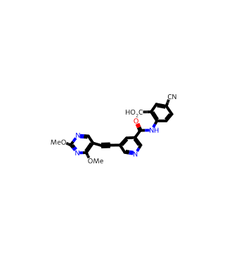 COc1ncc(C#Cc2cncc(C(=O)Nc3ccc(C#N)cc3C(=O)O)c2)c(OC)n1